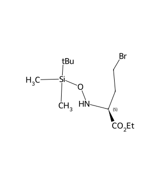 CCOC(=O)[C@H](CCBr)NO[Si](C)(C)C(C)(C)C